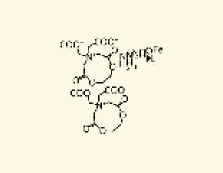 N.N.N.O.O.O=C([O-])C[N+]1(CC(=O)[O-])CC(=O)OCCOC(=O)C1.O=C([O-])C[N+]1(CC(=O)[O-])CC(=O)OCCOC(=O)C1.[Fe]